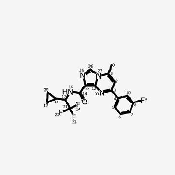 Cc1cc(-c2cccc(F)c2)nc2c(C(=O)NC(C3CC3)C(F)(F)F)ncn12